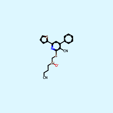 N#CCCC[S+]([O-])CSc1nc(-c2cccs2)cc(-c2ccccc2)c1C#N